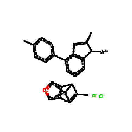 CC1=C2c3cocc3C1[Si]2(C)C.CC1=Cc2c(-c3ccc(C)cc3)cccc2[CH]1[Zr+2].[Cl-].[Cl-]